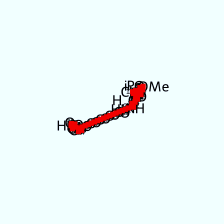 COc1cc2c(cc1OC(C)C)[C@H](c1ccc(Cl)cc1)N(c1ccc(N(C)C[C@H]3CC[C@H](NCCNC(=O)CCOCCOCCOCCOCCOCCOCCOCCOCCNc4cccc5c4C(=O)N(C4CCC(=O)NC4=O)C5=O)CC3)cc1)C(=O)C2